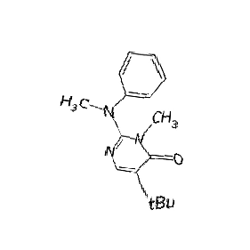 CN(c1ccccc1)c1ncc(C(C)(C)C)c(=O)n1C